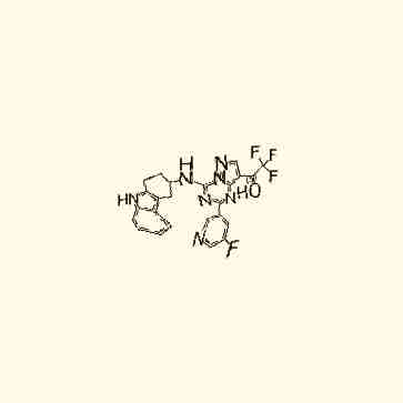 O[C@@H](c1cnn2c(NC3CCc4[nH]c5ccccc5c4C3)nc(-c3cncc(F)c3)nc12)C(F)(F)F